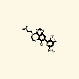 Cc1cc(N)nc(-c2cc3ncnc4c3c(c2Cl)OCCN4CCN(C)C)c1C(F)(F)F